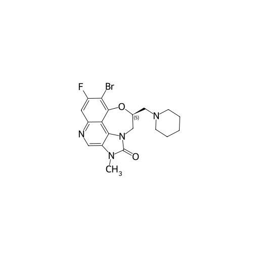 Cn1c(=O)n2c3c4c(c(Br)c(F)cc4ncc31)O[C@@H](CN1CCCCC1)C2